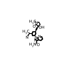 CC(C#N)c1cc(C#C[C@]2(O)CCN(C)C2=O)cc(-n2nc(C(N)=O)c3cccnc32)c1